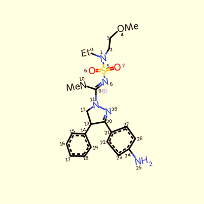 CCN(CCOC)S(=O)(=O)/N=C(\NC)N1CC(c2ccccc2)C(c2ccc(N)cc2)=N1